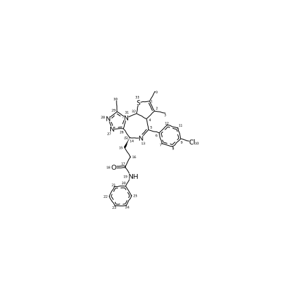 CC1=C(C)C2C(c3ccc(Cl)cc3)=N[C@@H](CCC(=O)Nc3ccccc3)c3nnc(C)n3C2S1